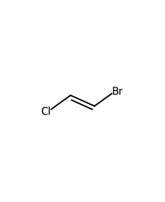 Cl/C=C/Br